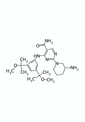 COC(C)(C)c1cc(Nc2nc(N3CCCC(N)C3)ncc2C(N)=O)cc(C(C)(C)OC)c1